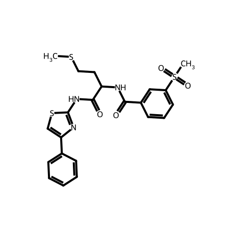 CSCCC(NC(=O)c1cccc(S(C)(=O)=O)c1)C(=O)Nc1nc(-c2ccccc2)cs1